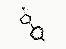 N[C@H]1CCN(c2ccc(F)nc2)C1